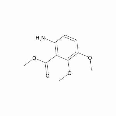 COC(=O)c1c(N)ccc(OC)c1OC